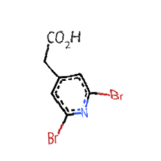 O=C(O)Cc1cc(Br)nc(Br)c1